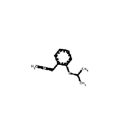 C=C=Cc1ccccc1SC(C)C